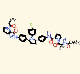 COC(=O)N[C@H](C(=O)N1CCC[C@H]1C(=O)Nc1ccc([C@H]2CC[C@@H](c3ccc(NC(=O)[C@@H]4CCCN4C(=O)CC(C)C)cc3)N2c2ccc(F)cc2)cc1)C(C)C